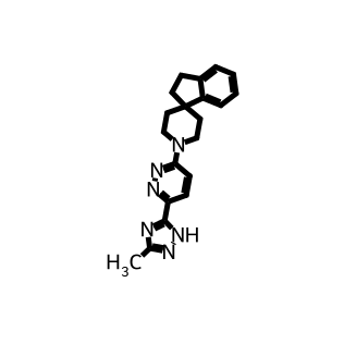 Cc1n[nH]c(-c2ccc(N3CCC4(CCc5ccccc54)CC3)nn2)n1